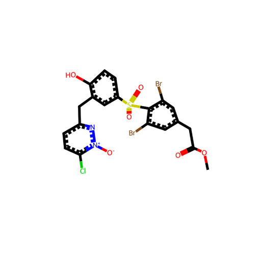 COC(=O)Cc1cc(Br)c(S(=O)(=O)c2ccc(O)c(Cc3ccc(Cl)[n+]([O-])n3)c2)c(Br)c1